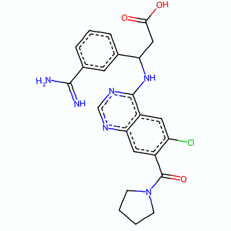 N=C(N)c1cccc(C(CC(=O)O)Nc2ncnc3cc(C(=O)N4CCCC4)c(Cl)cc23)c1